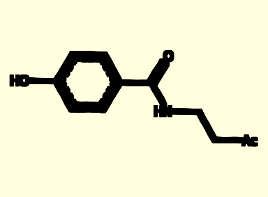 CC(=O)CCNC(=O)c1ccc(O)cc1